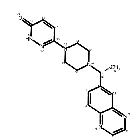 C[C@H](c1ccc2nccnc2c1)N1CCN(c2ccc(=O)[nH]n2)CC1